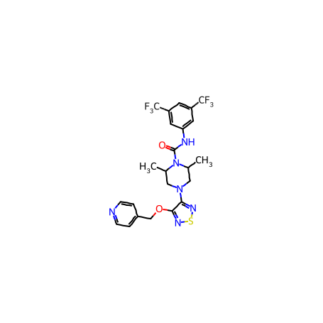 CC1CN(c2nsnc2OCc2ccncc2)CC(C)N1C(=O)Nc1cc(C(F)(F)F)cc(C(F)(F)F)c1